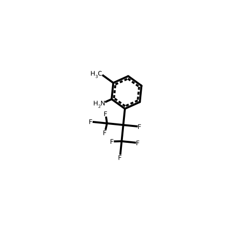 Cc1cccc(C(F)(C(F)(F)F)C(F)(F)F)c1N